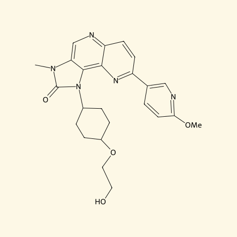 COc1ccc(-c2ccc3ncc4c(c3n2)n(C2CCC(OCCO)CC2)c(=O)n4C)cn1